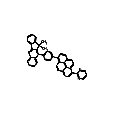 CC1(C)c2ccccc2-c2nc3ccccc3c(-c3ccc(-c4ccc5ccc6c(-c7ncccn7)ccc7ccc4c5c76)cc3)c21